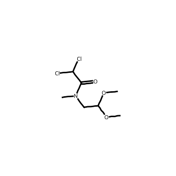 COC(CN(C)C(=O)C(Cl)Cl)OC